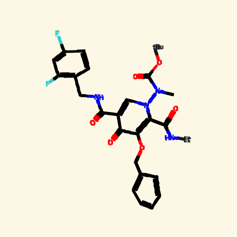 CCNC(=O)c1c(OCc2ccccc2)c(=O)c(C(=O)NCc2ccc(F)cc2F)cn1N(C)C(=O)OC(C)(C)C